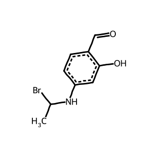 CC(Br)Nc1ccc(C=O)c(O)c1